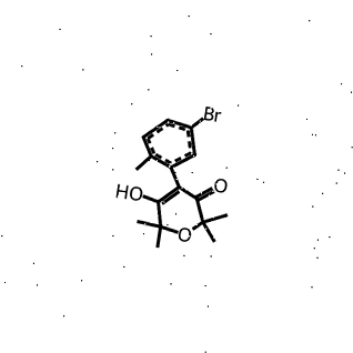 Cc1ccc(Br)cc1C1=C(O)C(C)(C)OC(C)(C)C1=O